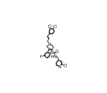 O=C(NCc1ccnc(Cl)c1)n1c2c(c3cc(F)ccc31)CN(CC=Cc1ccc(Cl)c(Cl)c1)CC2